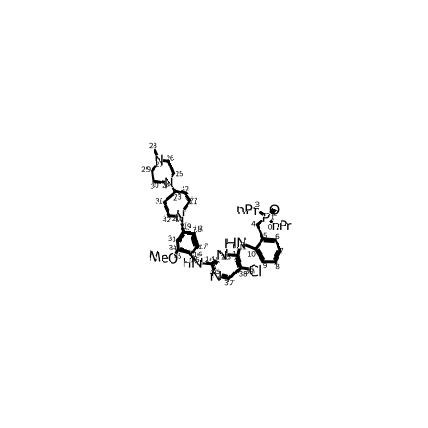 CCCP(=O)(CCC)Cc1ccccc1Nc1nc(Nc2ccc(N3CCC(N4CCN(C)CC4)CC3)cc2OC)ncc1Cl